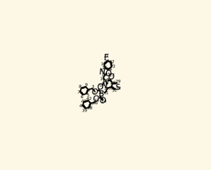 O=C(OCc1ccccc1)B(Cc1nn(Cc2nc3cc(F)ccc3o2)c(=O)c2cscc12)C(=O)OCc1ccccc1